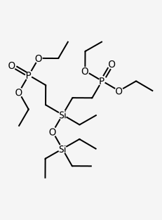 CCOP(=O)(CC[Si](CC)(CCP(=O)(OCC)OCC)O[Si](CC)(CC)CC)OCC